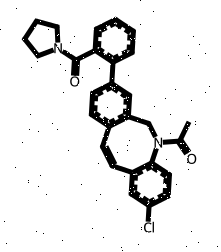 CC(=O)N1Cc2cc(-c3ccccc3C(=O)N3CCCC3)ccc2/C=C\c2cc(Cl)ccc21